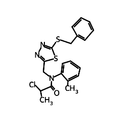 Cc1ccccc1N(Cc1nnc(SCc2ccccc2)s1)C(=O)C(C)Cl